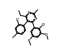 CCc1nc(C)nc(-c2cc(OC)cc(OC)c2Cl)c1-c1ccc(F)cc1Cl